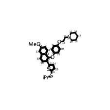 COc1ccc2c(Oc3ccc(OCCN4CCCCC4)cc3)c(-c3ccc(SC(C)C)s3)ccc2c1